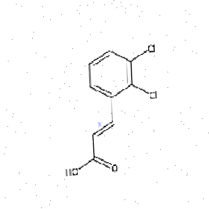 O=C(O)/C=C/c1cccc(Cl)c1Cl